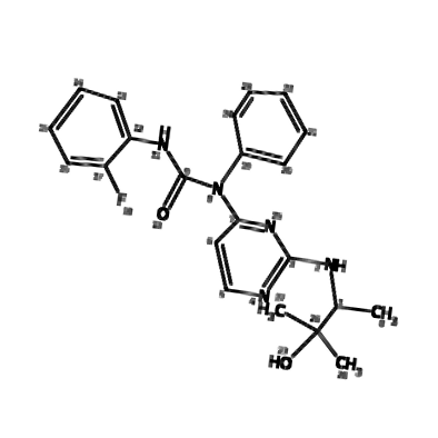 CC(Nc1nccc(N(C(=O)Nc2ccccc2F)c2ccccc2)n1)C(C)(C)O